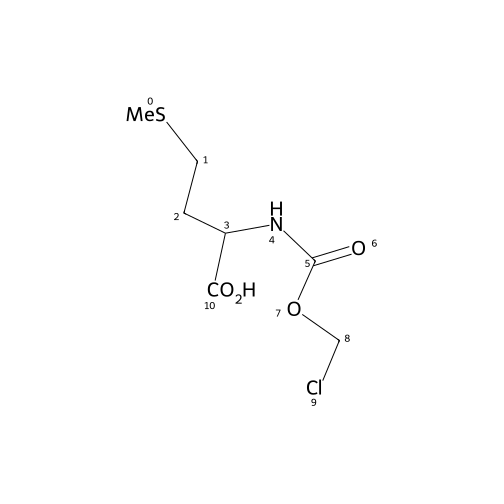 CSCCC(NC(=O)OCCl)C(=O)O